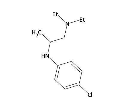 CCN(CC)CC(C)Nc1ccc(Cl)cc1